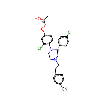 C[C@H](O)COc1ccc(N2CCN(CCc3ccc(C#N)cc3)C[C@H]2c2ccc(Cl)cc2)c(Cl)c1